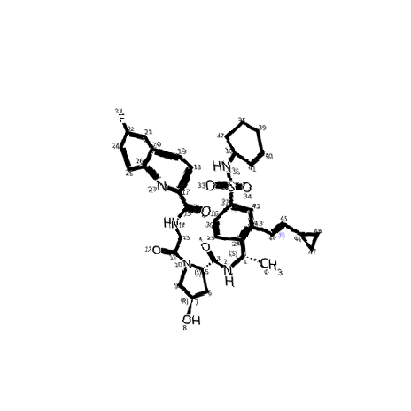 C[C@H](NC(=O)[C@@H]1C[C@@H](O)CN1C(=O)CNC(=O)c1ccc2cc(F)ccc2n1)c1ccc(S(=O)(=O)NC2CCCCC2)cc1/C=C/C1CC1